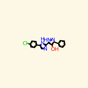 Oc1c(-c2ccccc2)n[nH]c1-c1ncc(-c2ccc(Cl)cc2)[nH]1